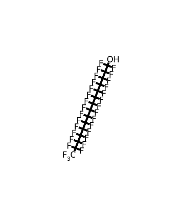 OC(F)(F)C(F)(F)C(F)(F)C(F)(F)C(F)(F)C(F)(F)C(F)(F)C(F)(F)C(F)(F)C(F)(F)C(F)(F)C(F)(F)C(F)(F)C(F)(F)C(F)(F)F